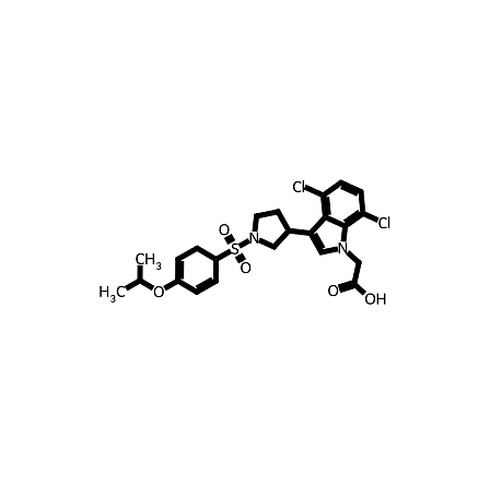 CC(C)OC1=CCC(S(=O)(=O)N2CCC(c3cn(CC(=O)O)c4c(Cl)ccc(Cl)c34)C2)C=C1